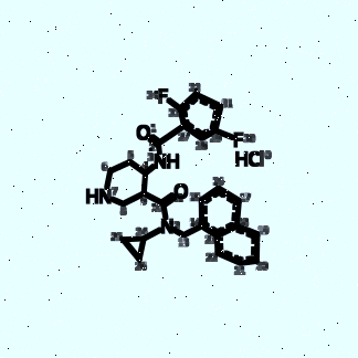 Cl.O=C(NC1CCNCC1C(=O)N(Cc1cccc2ccccc12)C1CC1)c1cc(F)ccc1F